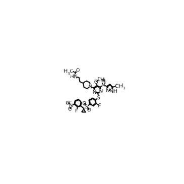 COc1c(Nc2cc(C)[nH]n2)nc(Sc2ccc(S(=O)(=O)C3(c4cccc([N+](=O)[O-])c4F)CC3)cc2F)nc1N1CCC(CCNC(C)=O)CC1